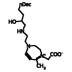 CCCCCCCCCCCCC(O)CNCCN1C#CC(C)=[N+](CC(=O)[O-])CC1